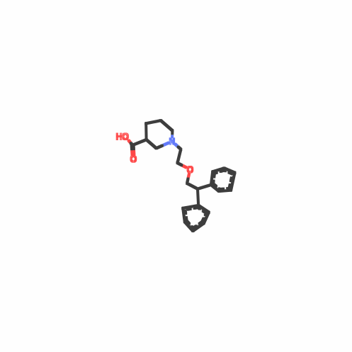 O=C(O)C1CCCN(CCOCC(c2ccccc2)c2ccccc2)C1